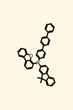 CC1(C)c2ccccc2-c2ccc(N(c3ccc(-c4ccc(-c5ccccc5)cc4)cc3)c3cccc4c3oc3ccccc34)cc21